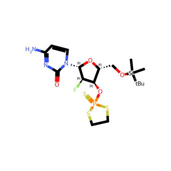 CC(C)(C)[Si](C)(C)OC[C@H]1O[C@@H](n2ccc(N)nc2=O)[C@H](F)[C@@H]1OP1(=S)SCCS1